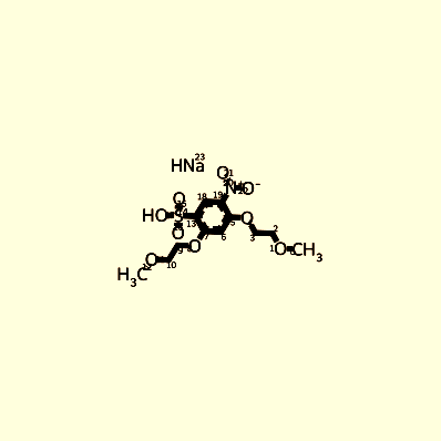 COCCOc1cc(OCCOC)c(S(=O)(=O)O)cc1[N+](=O)[O-].[NaH]